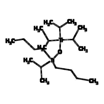 CCC[CH2][Ti]([CH2]CCC)([O][Ti]([CH](C)C)([CH](C)C)[CH](C)C)[CH](C)C